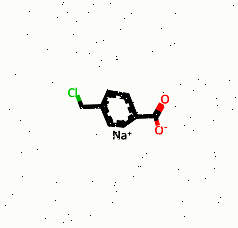 O=C([O-])c1ccc(CCl)cc1.[Na+]